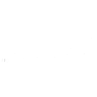 OC/C=C/C=C/CCCc1ccccc1